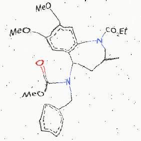 CCOC(=O)N1c2cc(OC)c(OC)cc2C(N(Cc2ccccc2)C(=O)OC)CC1C